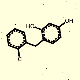 Oc1ccc(Cc2ccccc2Cl)c(O)c1